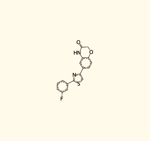 O=C1COc2ccc(-c3csc(-c4cccc(F)c4)n3)cc2N1